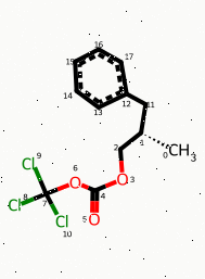 C[C@H](COC(=O)OC(Cl)(Cl)Cl)Cc1ccccc1